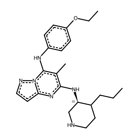 CCCC1CCNC[C@H]1Nc1nc2ccnn2c(Nc2ccc(OCC)cc2)c1C